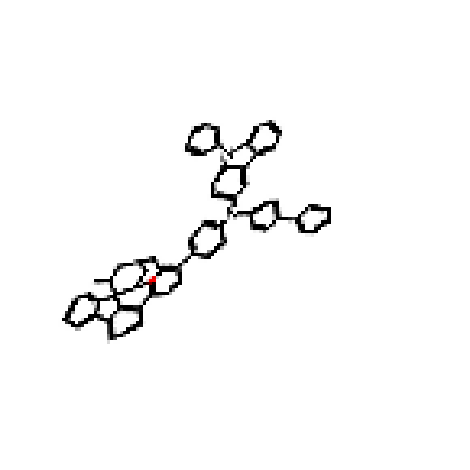 CC1CC2CC(C)C3(c4ccccc4-c4cccc(-c5ccc(-c6ccc(N(c7ccc(-c8ccccc8)cc7)c7ccc8c(c7)c7ccccc7n8-c7ccccc7)cc6)cc5)c43)C(C1)C2